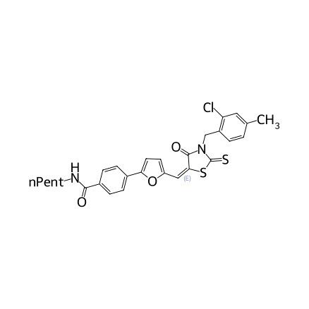 CCCCCNC(=O)c1ccc(-c2ccc(/C=C3/SC(=S)N(Cc4ccc(C)cc4Cl)C3=O)o2)cc1